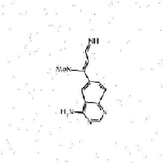 CN/C(=C\C=N)c1ccc2ncnc(N)c2c1